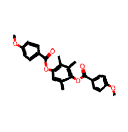 COc1ccc(C(=O)Oc2cc(C)c(OC(=O)c3ccc(OC)cc3)c(C)c2C)cc1